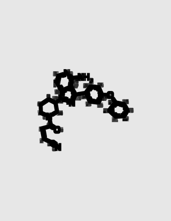 N#C/C=C\C(=O)N1CCC[C@@H](n2nc(-c3ccc(Oc4ccccc4)cc3)c3c(N)ncnc32)C1